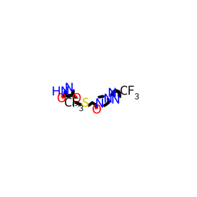 C[C@@H](CSCCC(=O)N1CCN(c2ncc(C(F)(F)F)cn2)CC1)Oc1cn[nH]c(=O)c1C(F)(F)F